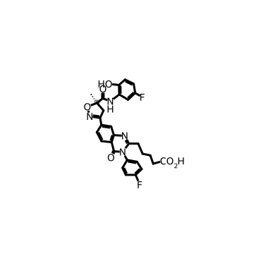 C[C@]1(C(=O)Nc2cc(F)ccc2O)CC(c2ccc3c(=O)n(-c4ccc(F)cc4)c(CCCCC(=O)O)nc3c2)=NO1